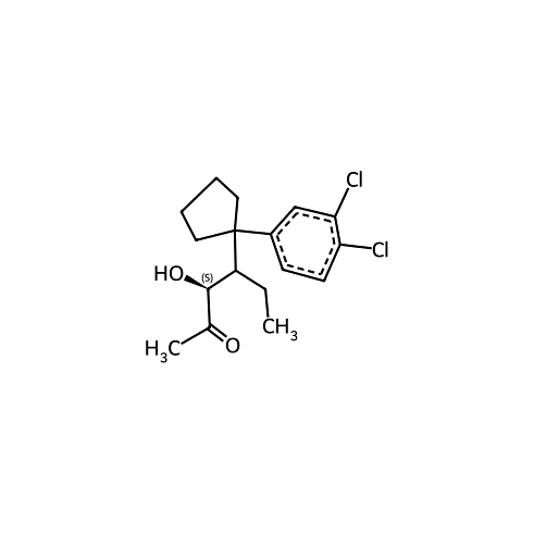 CCC([C@H](O)C(C)=O)C1(c2ccc(Cl)c(Cl)c2)CCCC1